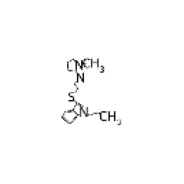 C=CCn1cc(SCC/N=C2\CCCN2C)c2ccccc21